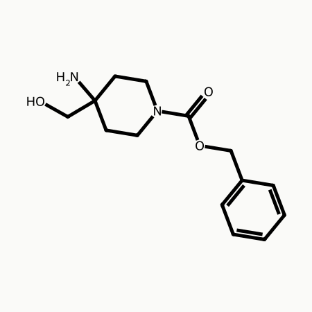 NC1(CO)CCN(C(=O)OCc2ccccc2)CC1